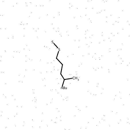 CCCCC(C)CCCS[S]